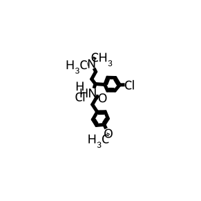 COc1ccc(CC(=O)NC(CCN(C)C)c2ccc(Cl)cc2)cc1.Cl